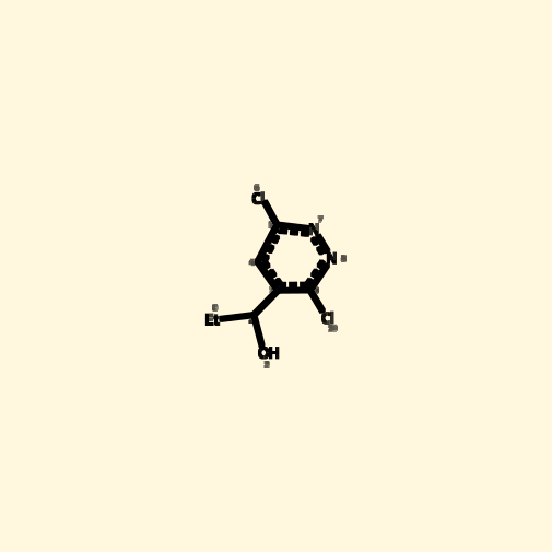 CCC(O)c1cc(Cl)nnc1Cl